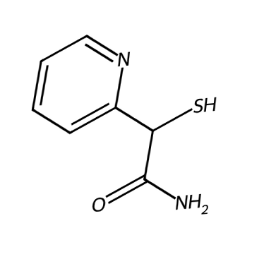 NC(=O)C(S)c1ccccn1